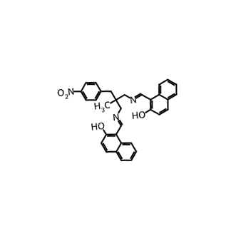 CC(CN=Cc1c(O)ccc2ccccc12)(CN=Cc1c(O)ccc2ccccc12)Cc1ccc([N+](=O)[O-])cc1